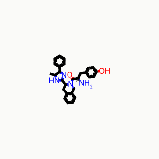 CC1NC(C2Cc3ccccc3CN2C(=O)[C@@H](N)Cc2ccc(O)cc2)=NC1c1ccccc1